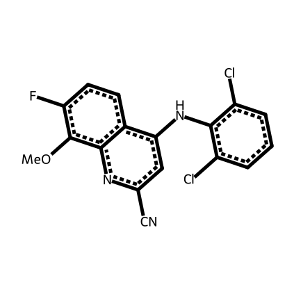 COc1c(F)ccc2c(Nc3c(Cl)cccc3Cl)cc(C#N)nc12